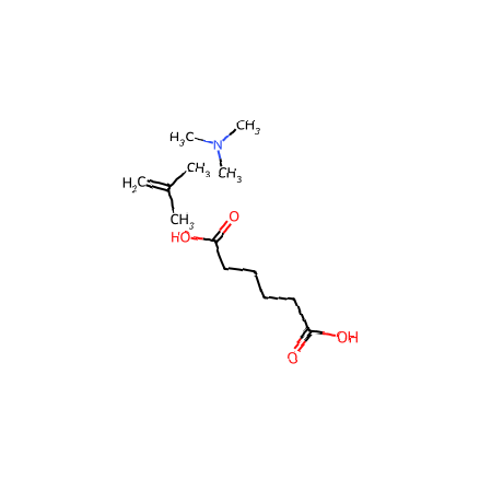 C=C(C)C.CN(C)C.O=C(O)CCCCC(=O)O